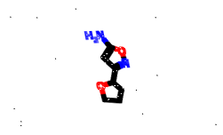 Nc1cc(C2CCCO2)no1